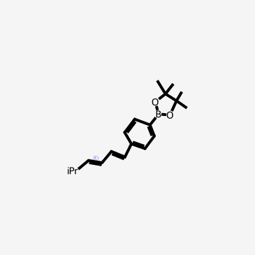 CC(C)/C=C/C=Cc1ccc(B2OC(C)(C)C(C)(C)O2)cc1